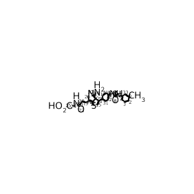 Cc1cccc(NC(=O)Nc2ccc(-c3csc4c(C=CC(=O)NCC(=O)O)cnc(N)c34)cc2)c1